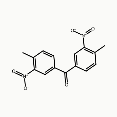 Cc1ccc(C(=O)c2ccc(C)c([N+](=O)[O-])c2)cc1[N+](=O)[O-]